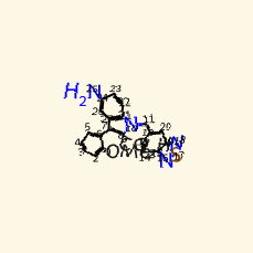 COc1ccccc1-c1c(C(=O)O)n(Cc2ccc3nsnc3c2)c2ccc(N)cc12